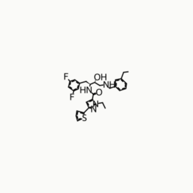 CCc1cccc(CNC[C@@H](O)[C@H](Cc2cc(F)cc(F)c2)NC(=O)c2cc(-c3cccs3)nn2CC)c1